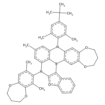 Cc1cc2c3c(c1)N(c1c(C)cc4c(c1C)OCCCO4)c1oc4ccccc4c1B3c1cc3c(cc1N2c1c(C)cc(C(C)(C)C)cc1C)OCCCO3